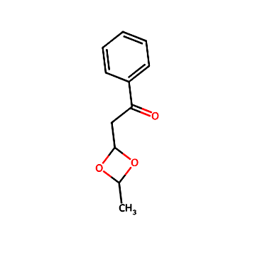 CC1OC(CC(=O)c2ccccc2)O1